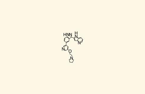 c1cnc2cc(-c3n[nH]c4ccc(-c5cncc(OCCN6CCCC6)c5)cc34)[nH]c2c1